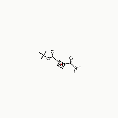 CN(C)C(=O)C12CC(C1)N(C(=O)OC(C)(C)C)C2